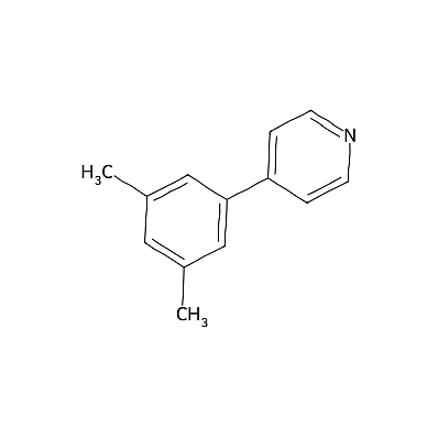 Cc1cc(C)cc(-c2ccncc2)c1